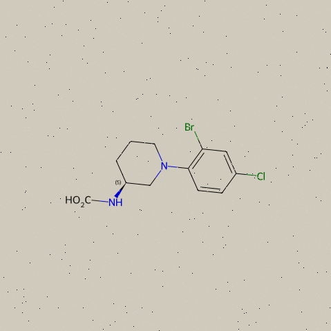 O=C(O)N[C@H]1CCCN(c2ccc(Cl)cc2Br)C1